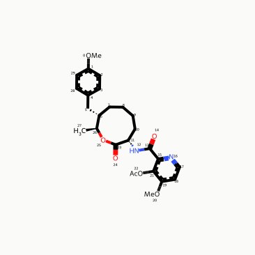 COc1ccc(C[C@@H]2CCCC[C@H](NC(=O)c3nccc(OC)c3OC(C)=O)C(=O)O[C@H]2C)cc1